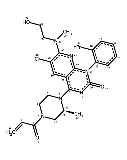 C=CC(=O)N1CCN(c2nc(=O)n(-c3ccccc3CCC)c3nc(N(C)CCO)c(Cl)cc23)[C@@H](C)C1